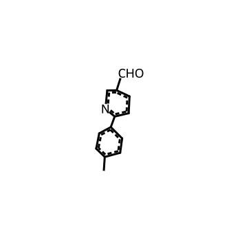 Cc1ccc(-c2ccc(C=O)cn2)cc1